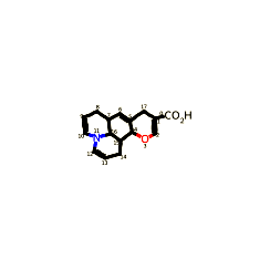 O=C(O)C1=COC2C(=CC3CC=CN4C=CCC2C34)C1